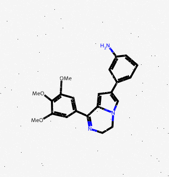 COc1cc(C2=NCCn3cc(-c4cccc(N)c4)cc32)cc(OC)c1OC